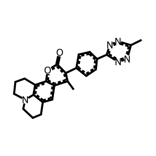 Cc1nnc(-c2ccc(-c3c(C)c4cc5c6c(c4oc3=O)CCCN6CCC5)cc2)nn1